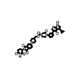 O=C1CCC(N2C(=O)c3ccc(N4CCC(COC(=O)N5CCN(c6cccc(-c7cnc8[nH]cc(C9CC9)c8c7Cl)c6)C(=O)C5)CC4)cc3C2=O)C(=O)N1